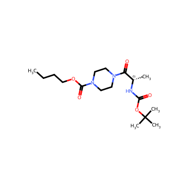 CCCCOC(=O)N1CCN(C(=O)[C@H](C)NC(=O)OC(C)(C)C)CC1